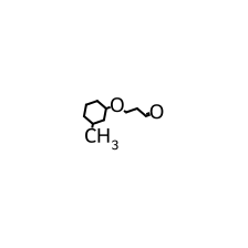 CC1CCCC(OCCC=O)C1